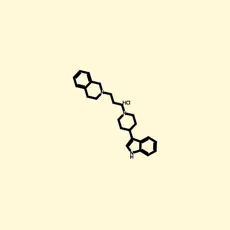 Cl.c1ccc2c(c1)CCN(CCCN1CCC(c3c[nH]c4ccccc34)CC1)C2